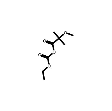 CCOC(=O)OC(=O)C(C)(C)OC